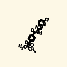 CN(C)S(=O)(=O)c1ccc(C(=O)Nc2cn3nc(Cl)ccc3n2)cc1